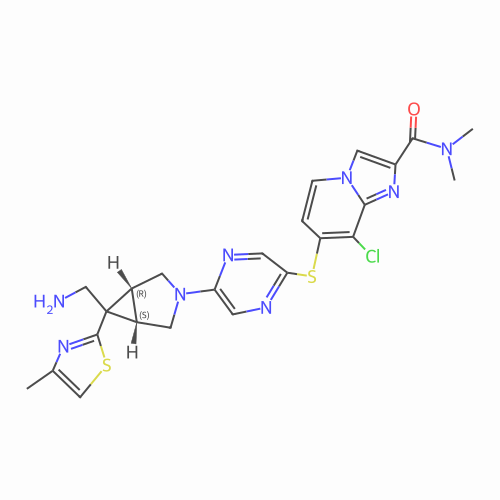 Cc1csc(C2(CN)[C@@H]3CN(c4cnc(Sc5ccn6cc(C(=O)N(C)C)nc6c5Cl)cn4)C[C@@H]32)n1